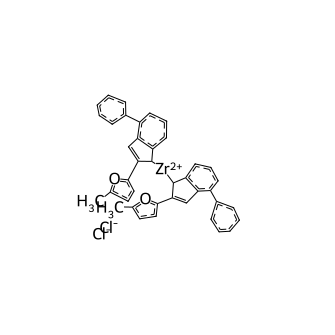 Cc1ccc(C2=Cc3c(-c4ccccc4)cccc3[CH]2[Zr+2][CH]2C(c3ccc(C)o3)=Cc3c(-c4ccccc4)cccc32)o1.[Cl-].[Cl-]